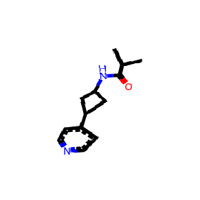 CC(C)C(=O)NC1CC(c2ccncc2)C1